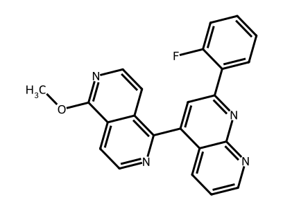 COc1nccc2c(-c3cc(-c4ccccc4F)nc4ncccc34)nccc12